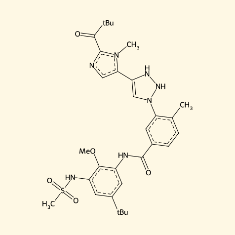 COc1c(NC(=O)c2ccc(C)c(N3C=C(c4cnc(C(=O)C(C)(C)C)n4C)NN3)c2)cc(C(C)(C)C)cc1NS(C)(=O)=O